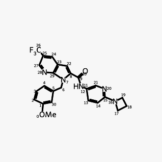 COc1cccc(Cn2c(C(=O)Nc3ccc(N4CCC4)nc3)cc3cc(C(F)(F)F)cnc32)c1